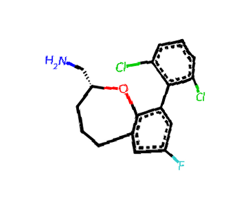 NC[C@H]1CCCc2cc(F)cc(-c3c(Cl)cccc3Cl)c2O1